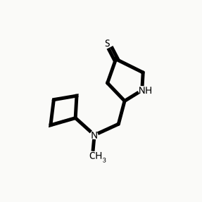 CN(CC1CC(=S)CN1)C1CCC1